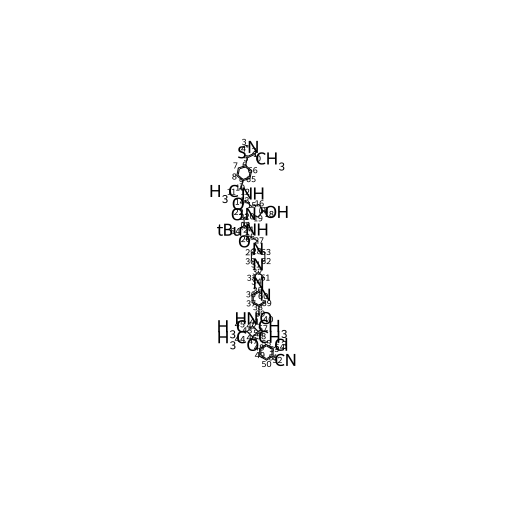 Cc1ncsc1-c1ccc(C(C)NC(=O)C2C[C@@H](O)CN2C(=O)[C@@H](NC(=O)CN2CCN(C3CN(c4ccc(C(=O)NC5C(C)(C)C(Oc6ccc(C#N)c(Cl)c6)C5(C)C)cn4)C3)CC2)C(C)(C)C)cc1